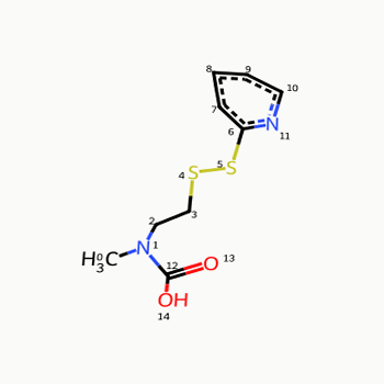 CN(CCSSc1ccccn1)C(=O)O